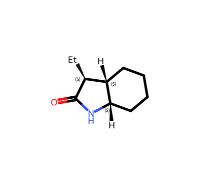 CC[C@@H]1C(=O)N[C@H]2CCCC[C@H]21